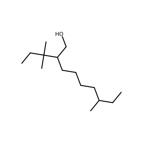 CCC(C)CCCCC(CO)C(C)(C)CC